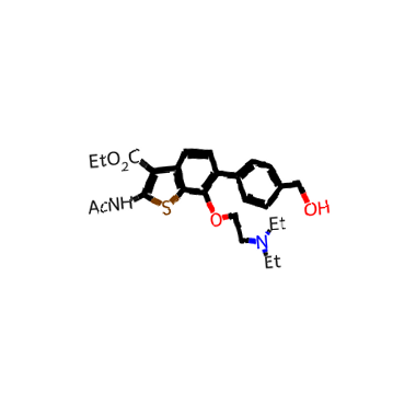 CCOC(=O)c1c(NC(C)=O)sc2c(OCCN(CC)CC)c(-c3ccc(CO)cc3)ccc12